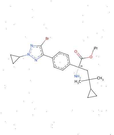 CC(C)OC(=O)[C@@](N)(CC(C)(C)C1CC1)c1ccc(-c2nn(C3CC3)nc2Br)cc1